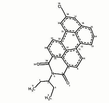 CCC(CC)N1C(=O)c2ccc3c4cccc5cc(Cl)cc(c6ccc(c2c36)C1=O)c54